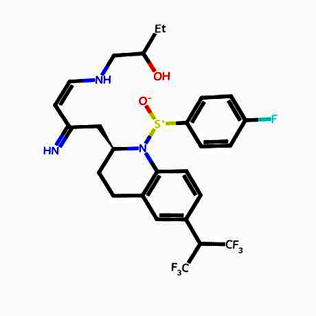 CCC(O)CN/C=C\C(=N)C[C@@H]1CCc2cc(C(C(F)(F)F)C(F)(F)F)ccc2N1[S+]([O-])c1ccc(F)cc1